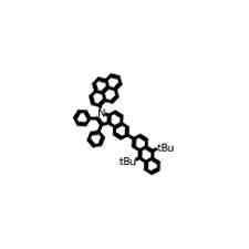 CC(C)(C)c1c2ccccc2c(C(C)(C)C)c2cc(-c3ccc4c(ccc5c4c(-c4ccccc4)c(-c4ccccc4)n5-c4ccc5ccc6cccc7ccc4c5c67)c3)ccc12